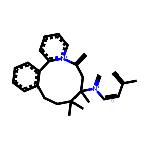 C=C(C)/C=C\[N+](=C)C1(C)CC(=C)[n+]2ccccc2-c2ccccc2CCC1(C)C